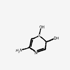 NC1=CN(O)C(O)C=N1